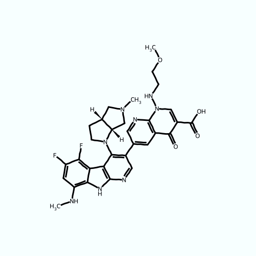 CNc1cc(F)c(F)c2c1[nH]c1ncc(-c3cnc4c(c3)c(=O)c(C(=O)O)cn4NCCOC)c(N3CC[C@@H]4CN(C)C[C@@H]43)c12